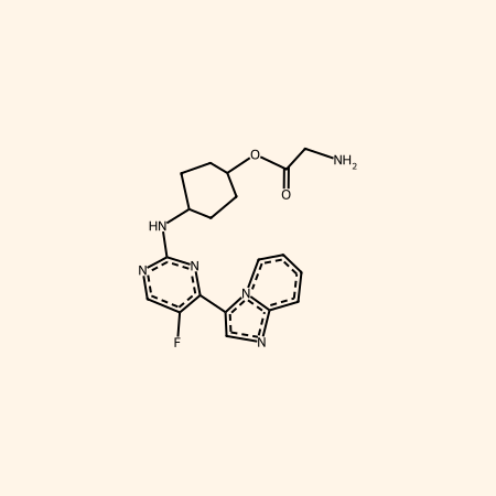 NCC(=O)OC1CCC(Nc2ncc(F)c(-c3cnc4ccccn34)n2)CC1